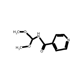 COC(NC(=O)c1ccncc1)OC